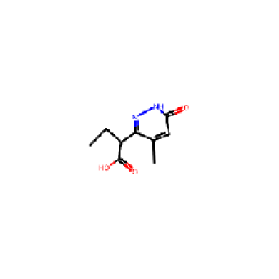 CCC(C(=O)O)c1n[nH]c(=O)cc1C